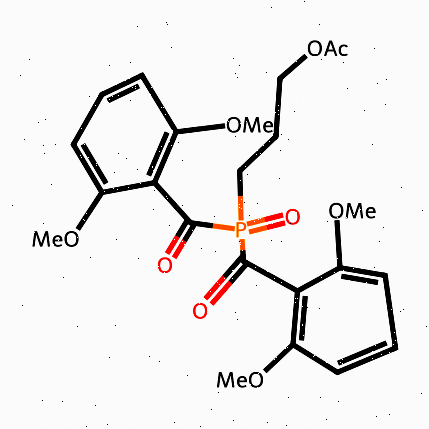 COc1cccc(OC)c1C(=O)P(=O)(CCCOC(C)=O)C(=O)c1c(OC)cccc1OC